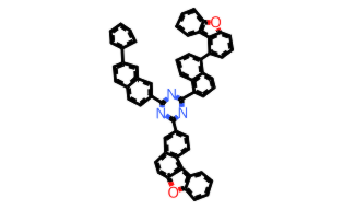 c1ccc(-c2ccc3ccc(-c4nc(-c5ccc6c(ccc7oc8ccccc8c76)c5)nc(-c5cccc6c(-c7cccc8oc9ccccc9c78)cccc56)n4)cc3c2)cc1